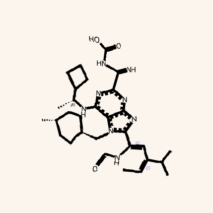 C/C=C(\C=C(/NC=O)c1nc2nc(C(=N)NC(=O)O)nc(N[C@H](C)C3CCC3)c2n1C[C@H]1CC[C@H](C)CC1)C(C)C